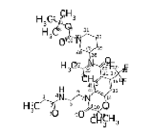 CCC(=O)NCCN1C(=O)C(C)(C)Oc2cc(C(F)(F)F)c(C(=O)N(C(C)C)[C@@H]3CCCN(C(=O)OC(C)(C)C)C3)cc21